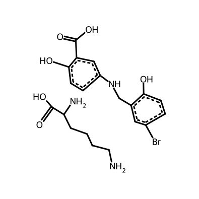 NCCCCC(N)C(=O)O.O=C(O)c1cc(NCc2cc(Br)ccc2O)ccc1O